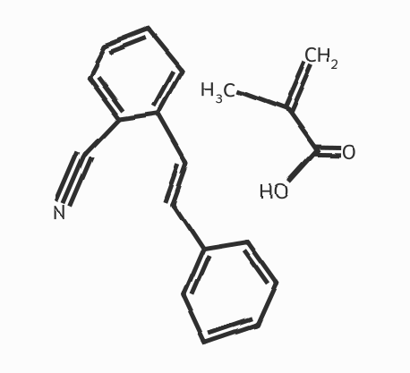 C=C(C)C(=O)O.N#Cc1ccccc1C=Cc1ccccc1